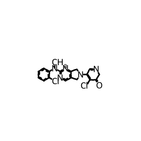 CN(c1ncc2c(n1)CN(C1=C(Cl)C(=O)CN=C1)C2)c1ccccc1Cl